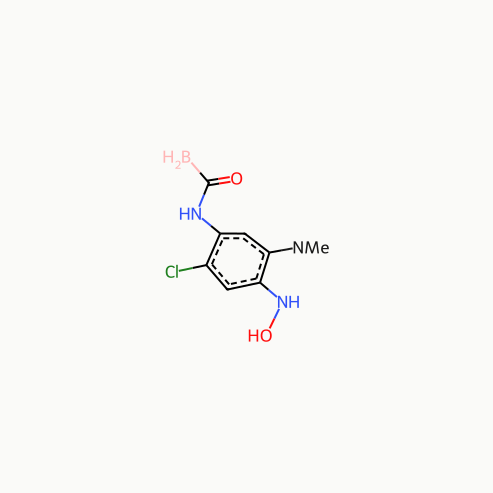 BC(=O)Nc1cc(NC)c(NO)cc1Cl